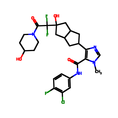 Cn1cnc(C2CC3CC(O)(C(F)(F)C(=O)N4CCC(O)CC4)CC3C2)c1C(=O)Nc1ccc(F)c(Cl)c1